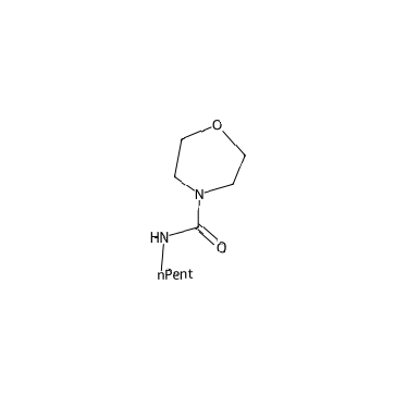 CCCCCNC(=O)N1CCOCC1